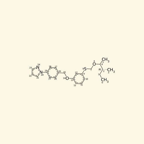 CC[C@@H](C)C(C)OCSc1cccc(OCc2ccc(-n3cccn3)cc2)c1